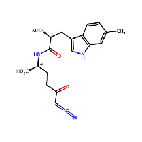 CO[C@@H](Cc1c[nH]c2cc(C)ccc12)C(=O)N[C@@H](CCC(=O)C=[N+]=[N-])C(=O)O